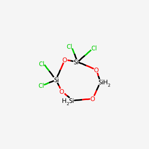 Cl[Si]1(Cl)O[SiH2]O[SiH2]O[Si](Cl)(Cl)O1